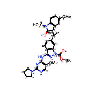 COc1ccc2c(c1)[C@]1(C[C@H]1c1ccc3c(Nc4nc(N5CCCC5)ncc4OC)nn(C(=O)OC(C)(C)C)c3c1)C(=O)N2C(=O)O